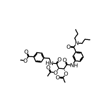 CCCN(CCC)C(=O)c1cccc(NC(=O)[C@H](OC(C)=O)[C@@H](OC(C)=O)C(=O)NCc2ccc(C(=O)OC)cc2)c1